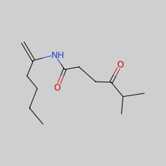 C=C(CCCC)NC(=O)CCC(=O)C(C)C